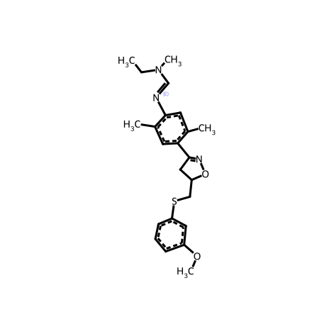 CCN(C)/C=N/c1cc(C)c(C2=NOC(CSc3cccc(OC)c3)C2)cc1C